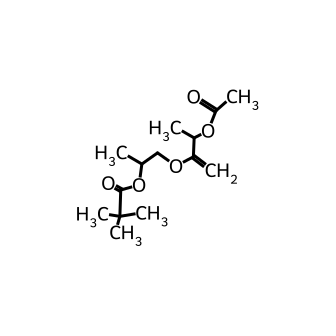 C=C(OCC(C)OC(=O)C(C)(C)C)C(C)OC(C)=O